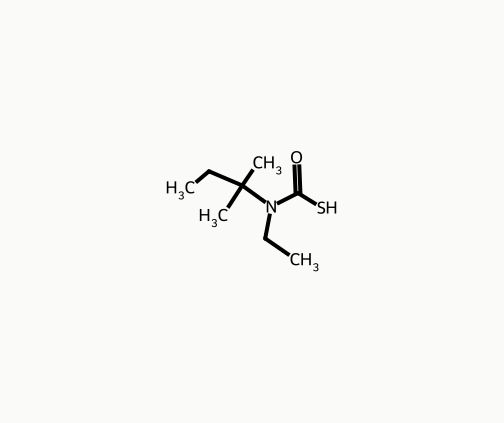 CCN(C(=O)S)C(C)(C)CC